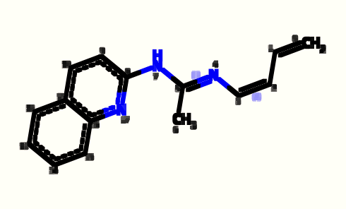 C=C/C=C\N=C(/C)Nc1ccc2ccccc2n1